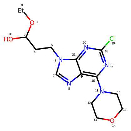 CCOC(O)CCn1cnc2c(N3CCOCC3)nc(Cl)nc21